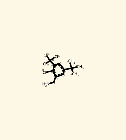 CC(C)(C)c1cc(CN)c(Cl)c(C(Cl)(Cl)Cl)c1